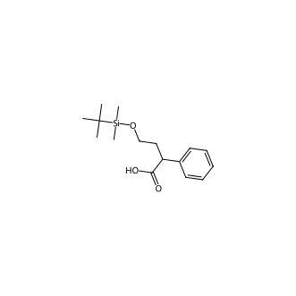 CC(C)(C)[Si](C)(C)OCCC(C(=O)O)c1ccccc1